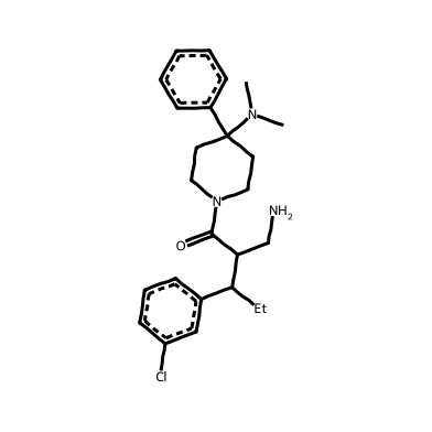 CCC(c1cccc(Cl)c1)C(CN)C(=O)N1CCC(c2ccccc2)(N(C)C)CC1